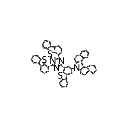 c1ccc2c(c1)ccc1c2c2c3ccccc3ccc2n1-c1cc(-c2nc(-c3cccc4c3sc3ccccc34)nc(-c3cccc4c3sc3ccccc34)n2)c2sc3ccccc3c2c1